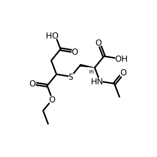 CCOC(=O)C(CC(=O)O)SC[C@H](NC(C)=O)C(=O)O